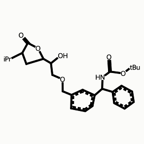 CC(C)C1CC(C(O)COCc2cccc(C(NC(=O)OC(C)(C)C)c3ccccc3)c2)OC1=O